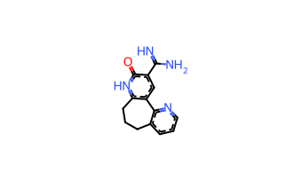 N=C(N)c1cc2c([nH]c1=O)CCCc1cccnc1-2